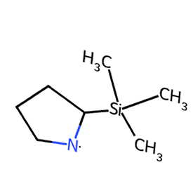 C[Si](C)(C)C1CCC[N]1